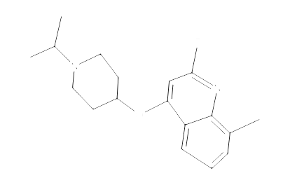 Cc1cccc2c(OC3CCN(C(C)C)CC3)cc(F)nc12